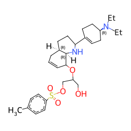 CCN(CC)[C@H]1CC=C(C2CC[C@@H]3CC=CC(OC(CO)COS(=O)(=O)c4ccc(C)cc4)[C@@H]3N2)CC1